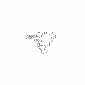 COc1ccc(C)cc1S(=O)(=O)Nc1cc(OCCN2CCOCC2)c2occc2c1.Cl